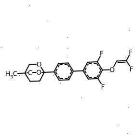 CC12CCC(c3ccc(-c4cc(F)c(OC=C(F)F)c(F)c4)cc3)(OC1)OC2